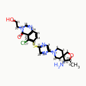 C[C@@H]1OCC2(CCN(c3cnc(Sc4ccc5ncn(CCO)c(=O)c5c4Cl)cn3)CC2)[C@@H]1N